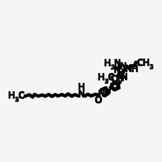 CCCCCCCCCCCCCCCCCCNCCCCC(=O)N1CCN(c2ccc(Cn3cc4nc(N)nc(NCCCC)c4n3)c(OC)c2)CC1